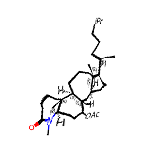 CC(=O)OC1C[C@H]2N(C)C(=O)CC[C@]2(C)[C@H]2CC[C@]3(C)[C@@H]([C@H](C)CCCC(C)C)CC[C@H]3[C@H]12